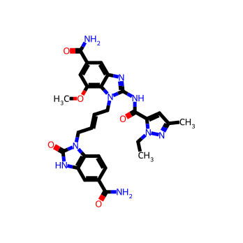 CCn1nc(C)cc1C(=O)Nc1nc2cc(C(N)=O)cc(OC)c2n1CC=CCn1c(=O)[nH]c2cc(C(N)=O)ccc21